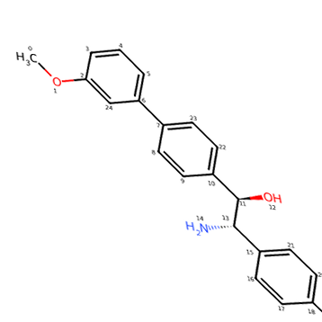 COc1cccc(-c2ccc([C@@H](O)[C@@H](N)c3ccc(Cl)cc3)cc2)c1